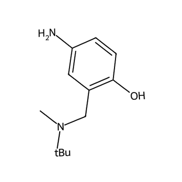 CN(Cc1cc(N)ccc1O)C(C)(C)C